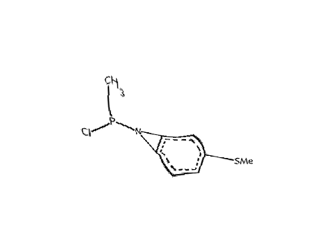 CSc1ccc2c(c1)N2P(C)Cl